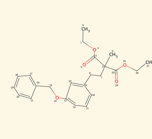 CCOC(=O)C(C)(CCc1cccc(OCc2ccccc2)c1)C(=O)OCC